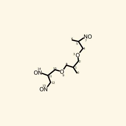 CC(COCC(C)N=O)COCC(CN=O)N=O